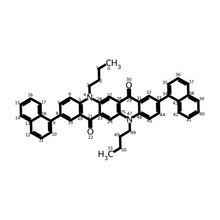 CCCCn1c2ccc(-c3cccc4ccccc34)cc2c(=O)c2cc3c(cc21)c(=O)c1cc(-c2cccc4ccccc24)ccc1n3CCCC